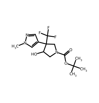 Cn1cc(C2(C(F)(F)F)CN(C(=O)OC(C)(C)C)CC2O)cn1